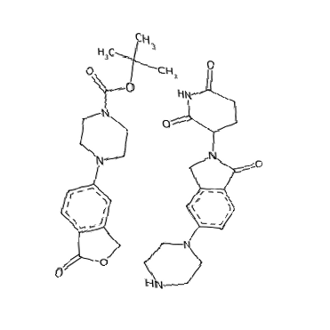 CC(C)(C)OC(=O)N1CCN(c2ccc3c(c2)COC3=O)CC1.O=C1CCC(N2Cc3cc(N4CCNCC4)ccc3C2=O)C(=O)N1